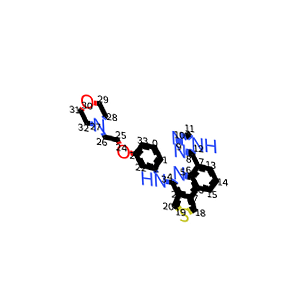 c1cc(Nc2nc3c(-c4nnc[nH]4)cccc3c3cscc23)cc(OCCN2CCOCC2)c1